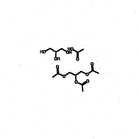 CC(=O)O.CC(=O)OCC(COC(C)=O)OC(C)=O.OCC(O)CO